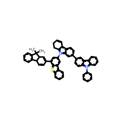 CC1(C)c2ccccc2C2C=CC(c3cc(-n4c5c(c6ccc(-c7ccc8c(c7)c7ccccc7n8-c7ccccc7)cc64)C=CCC5)cc4c3sc3ccccc34)=CC21